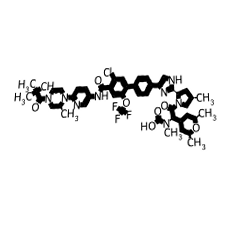 C[C@H]1C[C@@H](c2nc(-c3ccc(-c4cc(Cl)c(C(=O)Nc5ccc(N6CCN(C(=O)C(C)(C)C)C[C@H]6C)nc5)cc4OC(F)(F)F)cc3)c[nH]2)N(C(=O)[C@H](C2C[C@H](C)O[C@@H](C)C2)N(C)C(=O)O)C1